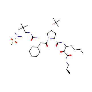 C=CCNC(=O)C(=O)C(CCCC)NC(=O)[C@@H]1C[C@@H](OC(C)(C)C)CN1C(=O)[C@@H](NC(=O)N[C@H](CN(C)S(C)(=O)=O)C(C)(C)C)C1CCCCC1